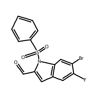 O=Cc1cc2cc(F)c(Br)cc2n1S(=O)(=O)c1ccccc1